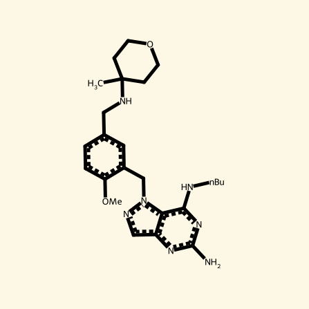 CCCCNc1nc(N)nc2cnn(Cc3cc(CNC4(C)CCOCC4)ccc3OC)c12